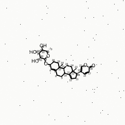 C[C@@H]1OC(OC2C=C3CCC4C5=CC[C@H](c6ccc(=O)oc6)[C@@]5(C)CCC4[C@@]3(C)CC2)[C@H](O)[C@H](O)[C@H]1O